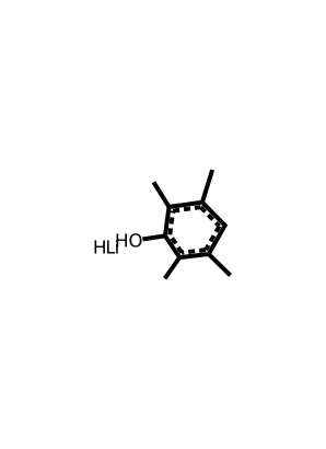 Cc1cc(C)c(C)c(O)c1C.[LiH]